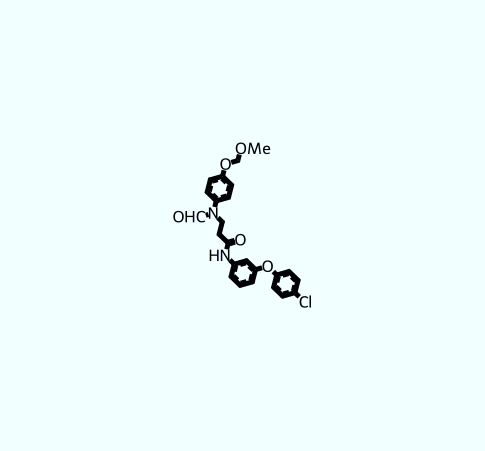 COCOc1ccc(N(C=O)CCC(=O)Nc2cccc(Oc3ccc(Cl)cc3)c2)cc1